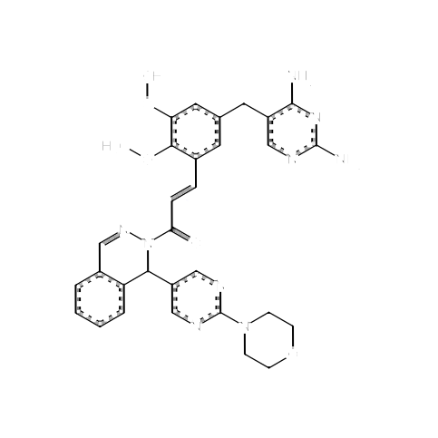 COc1cc(Cc2cnc(N)nc2N)cc(/C=C/C(=O)N2N=Cc3ccccc3C2c2cnc(N3CCOCC3)nc2)c1OC